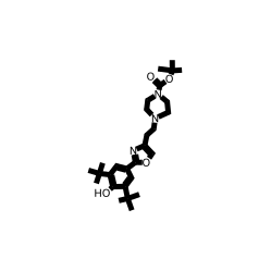 CC(C)(C)OC(=O)N1CCN(CCc2coc(-c3cc(C(C)(C)C)c(O)c(C(C)(C)C)c3)n2)CC1